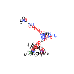 COc1cc2cc(c1Cl)N(C)C(=O)C[C@H](OC(=O)[C@H](C)C(C)C(=O)CCOC(=O)OCc1ccc(NC(=O)[C@H](CCCNC(N)=O)NC(=O)[C@@H](NC(=O)CCOCCOCCOCCOCCC(=O)NCCCCCC(=O)N3Cc4ccccc4C#Cc4ccccc43)C(C)C)cc1)[C@]1(C)O[C@H]1[C@H](C)[C@@H]1C[C@@](O)(NC(=O)O1)[C@H](OC)/C=C/C=C(\C)C2